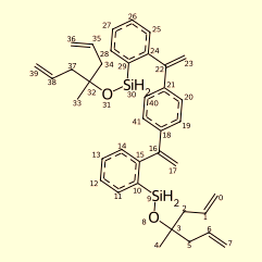 C=CCC(C)(CC=C)O[SiH2]c1ccccc1C(=C)c1ccc(C(=C)c2ccccc2[SiH2]OC(C)(CC=C)CC=C)cc1